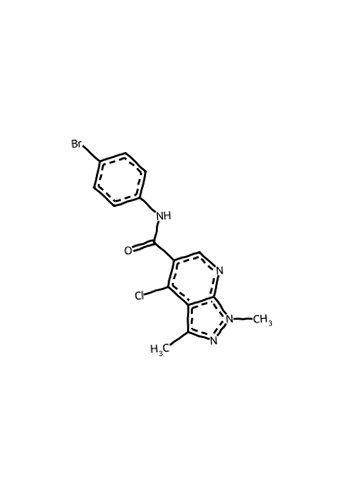 Cc1nn(C)c2ncc(C(=O)Nc3ccc(Br)cc3)c(Cl)c12